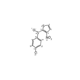 O=[N+]([O-])c1ccsc1[S+]([O-])c1ccc(Cl)cc1